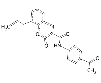 C=CCc1cccc2cc(C(=O)Nc3ccc(C(C)=O)cc3)c(=O)oc12